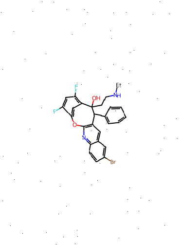 CCNCCC1(O)c2cc(c(F)cc2F)Oc2nc3ccc(Br)cc3cc2C1c1ccccc1